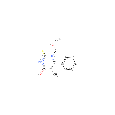 COCn1c(-c2ccccc2)c(C)c(=O)[nH]c1=S